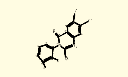 CCc1nc2cc(F)c(I)cc2c(=O)n1-c1cccc(C)c1C